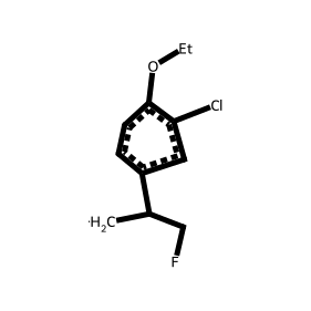 [CH2]C(CF)c1ccc(OCC)c(Cl)c1